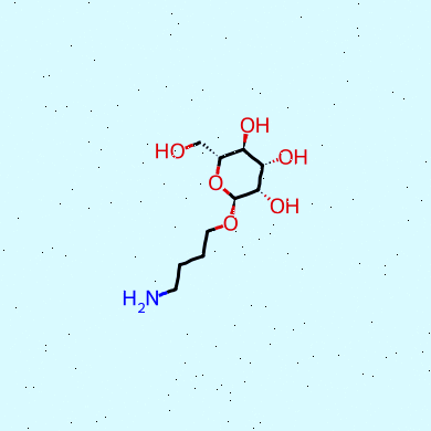 NCCCCO[C@H]1O[C@H](CO)[C@@H](O)[C@H](O)[C@@H]1O